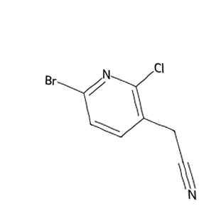 N#CCc1ccc(Br)nc1Cl